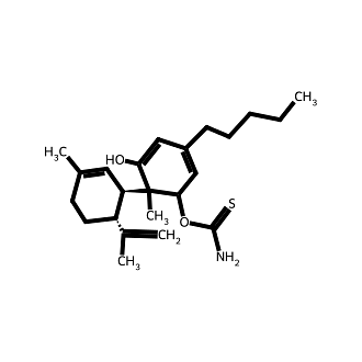 C=C(C)[C@@H]1CCC(C)=C[C@H]1C1(C)C(O)=CC(CCCCC)=CC1OC(N)=S